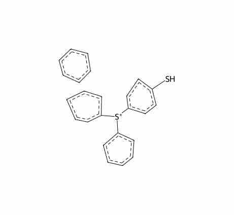 Sc1ccc([S+](c2ccccc2)c2ccccc2)cc1.c1ccccc1